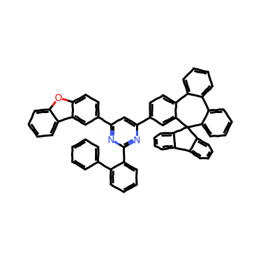 c1ccc(-c2ccccc2-c2nc(-c3ccc4c(c3)C3(c5ccccc5-c5ccccc5-4)c4ccccc4-c4ccccc43)cc(-c3ccc4oc5ccccc5c4c3)n2)cc1